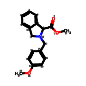 COC(=O)C1c2ccccc2CN1Cc1ccc(OC)cc1